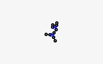 c1ccc(-c2ccc(N(c3ccc(-c4ccccc4)cc3)c3ccc(-c4cccc(N5c6ccc7ccccc7c6-c6cccc7cccc5c67)c4)cc3)cc2)cc1